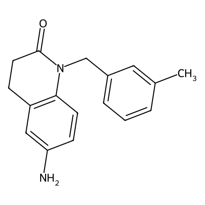 Cc1cccc(CN2C(=O)CCc3cc(N)ccc32)c1